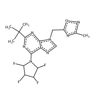 Cc1noc(Cn2cnc3c(N4C(F)C(F)C(F)C4F)nc(C(C)(C)C)nc32)n1